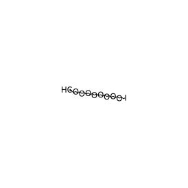 C#CCOCCOCCOCCOCCOCCOCCOCCOCCI